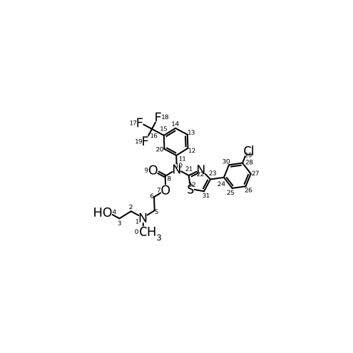 CN(CCO)CCOC(=O)N(c1cccc(C(F)(F)F)c1)c1nc(-c2cccc(Cl)c2)cs1